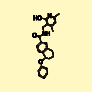 Cc1cc(C)c(CNC(=O)c2ccc3c(c2)CCCC3Oc2ccccc2)c(O)n1